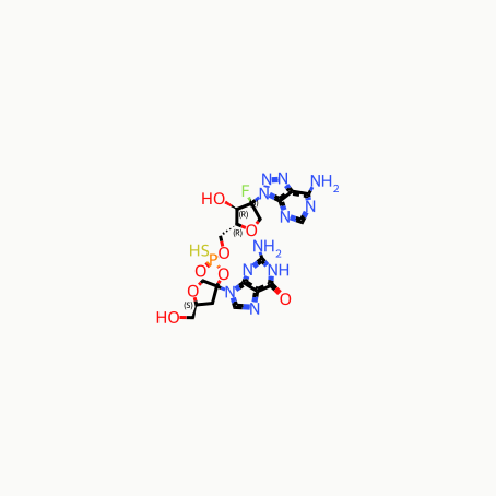 Nc1nc2c(ncn2C2(OP(=O)(S)OC[C@H]3OC[C@@](F)(n4nnc5c(N)ncnc54)[C@@H]3O)CO[C@H](CO)C2)c(=O)[nH]1